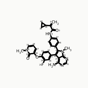 C=C(C(=O)Nc1ccc(-c2c(-c3ccc(Oc4cccn(C)c4=O)c(F)c3)c3c(N)ncnc3n2C)cc1)C1CC1